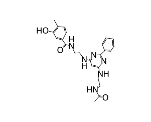 CC(=O)NCCNc1cc(NCCNC(=O)c2ccc(C)c(O)c2)nc(-c2ccccc2)n1